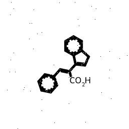 O=C(O)C(=Cc1ccccc1)C1=CCc2ccccc21